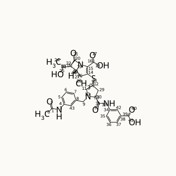 CC(=O)Nc1cccc(CN2C[C@@H](SC3=C(C(=O)O)N4C(=O)[C@H]([C@@H](C)O)[C@H]4[C@H]3C)C[C@H]2C(=O)Nc2cccc(C(=O)O)c2)c1